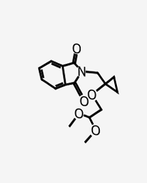 COC(COC1(CN2C(=O)c3ccccc3C2=O)CC1)OC